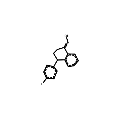 ON=C1CCC(c2ccc(F)cc2)c2ccccc21